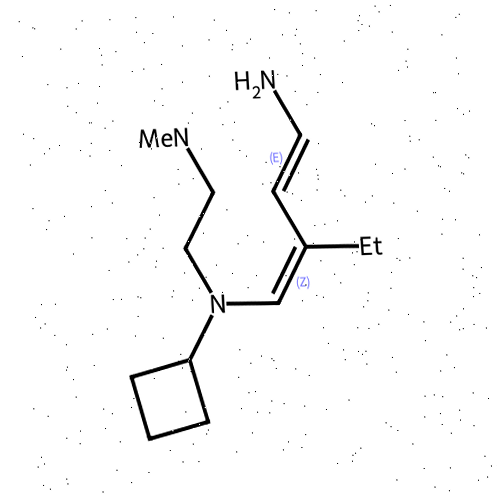 CCC(=C/N(CCNC)C1CCC1)/C=C/N